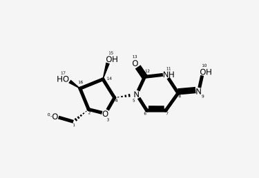 [O]C[C@H]1O[C@@H](n2cc/c(=N/O)[nH]c2=O)[C@H](O)[C@@H]1O